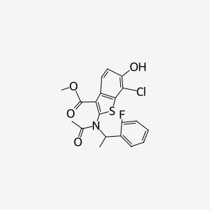 COC(=O)c1c(N(C(C)=O)C(C)c2ccccc2F)sc2c(Cl)c(O)ccc12